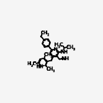 CCc1ccc(-c2cc(CC3=C(C)C=C(C)NC3C)c(C=N)c(NC(C)C)n2)cc1